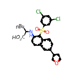 CCCCC(Nc1ccc2cc(-c3ccoc3)ccc2c1S(=O)(=O)c1cc(Cl)cc(Cl)c1)C(=O)O